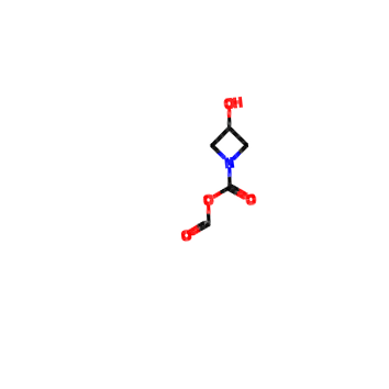 O=COC(=O)N1CC(O)C1